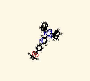 CC1(C)OB(c2ccc(-c3ccc(-c4nc(C56CC7CC(CC(C7)C5)C6)nc(C56CC7CC(CC(C7)C5)C6)n4)cn3)cc2)OC1(C)C